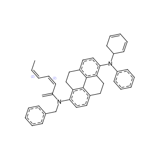 C=C(/C=C\C=C/C)N(Cc1ccccc1)c1ccc2c3c1CCc1ccc(N(c4ccccc4)C4C=CC=CC4)c(c1-3)CC2